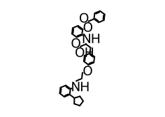 O=C(Oc1ccccc1NC(Cc1ccc(OCCCNc2ccccc2C2CCCC2)cc1)C(=O)O)c1ccccc1